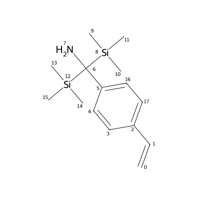 C=Cc1ccc(C(N)([Si](C)(C)C)[Si](C)(C)C)cc1